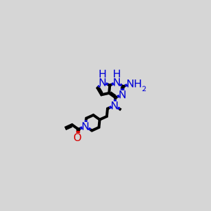 C=CC(=O)N1CCC(CCN(C)C2=C3C=CNC3NC(N)=N2)CC1